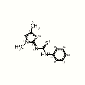 Cc1cn(C)c(=NC(=S)Nc2ccccc2)s1